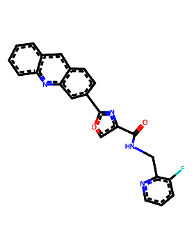 O=C(NCc1ncccc1F)c1coc(-c2ccc3cc4ccccc4nc3c2)n1